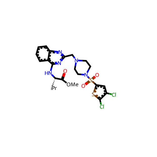 COC(=O)[C@@H](Nc1nc(CN2CCN(S(=O)(=O)c3cc(Cl)c(Cl)s3)CC2)nc2ccccc12)C(C)C